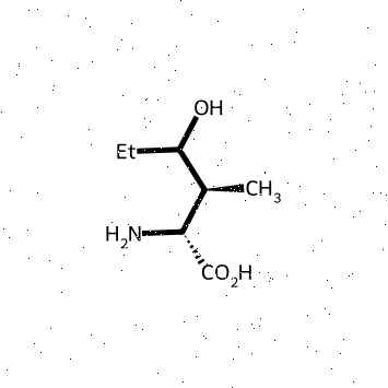 CCC(O)[C@@H](C)[C@@H](N)C(=O)O